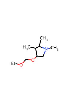 CCOCOC1CN(C)C(C)C1C